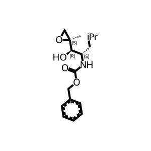 CC(C)C[C@H](NC(=O)OCc1ccccc1)[C@@H](O)[C@]1(C)CO1